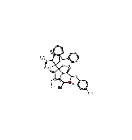 CCCCCC(Cc1ccccc1)(C(C(N)=O)C(=O)OCc1ccccc1)C(C(=O)O)(C(=O)C(N)CS)N(C(=O)C(N)Cc1ccc(O)cc1)C(=O)C(N)C(C)CC